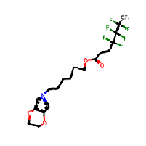 O=C(CCC(F)(F)C(F)(F)C(F)(F)C(F)(F)F)OCCCCCCn1cc2c(c1)OCCO2